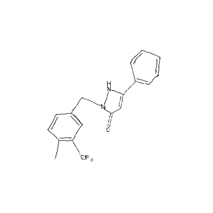 Cc1ccc(Cn2[nH]c(-c3ccccc3)cc2=O)cc1C(F)(F)F